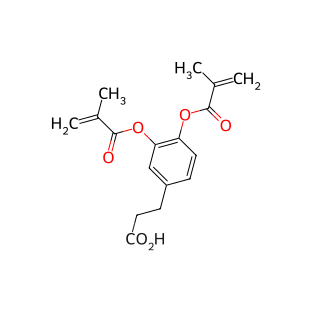 C=C(C)C(=O)Oc1ccc(CCC(=O)O)cc1OC(=O)C(=C)C